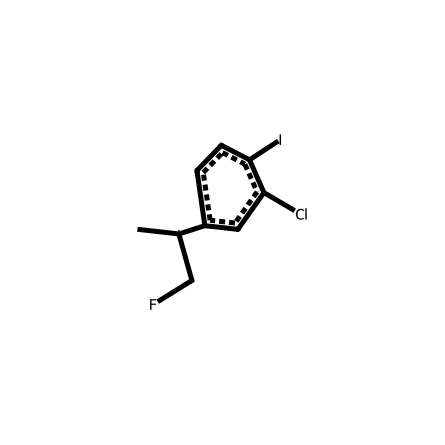 C[C](CF)c1ccc(I)c(Cl)c1